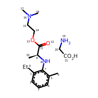 CCc1cccc(C)c1N[C@@H](C)C(=O)OCCN(C)C.NCC(=O)O